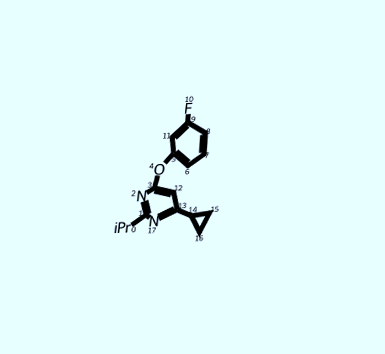 CC(C)c1nc(Oc2cccc(F)c2)cc(C2CC2)n1